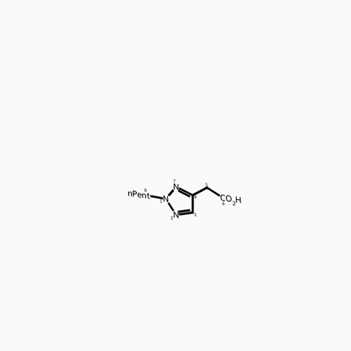 CCCCCn1ncc(CC(=O)O)n1